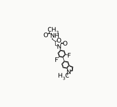 CC(=O)NCC1CN(c2cc(F)c(-c3ccc4c(ccn4C)c3)c(F)c2)C(=O)O1